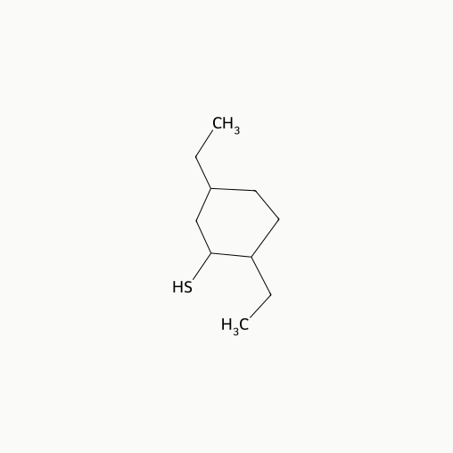 CCC1CCC(CC)C(S)C1